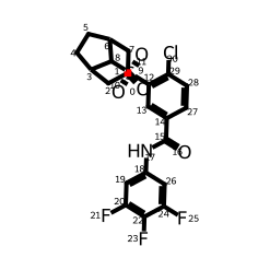 O=C1CC2CCC(C1)C2S(=O)(=O)c1cc(C(=O)Nc2cc(F)c(F)c(F)c2)ccc1Cl